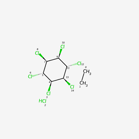 CC.Cl.Cl[C@H]1[C@H](Cl)[C@@H](Cl)[C@@H](Cl)[C@H](Cl)[C@H]1Cl